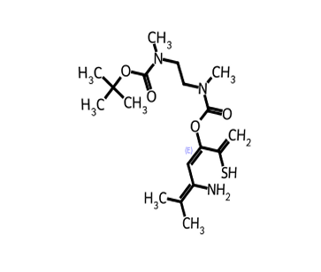 C=C(S)/C(=C\C(N)=C(C)C)OC(=O)N(C)CCN(C)C(=O)OC(C)(C)C